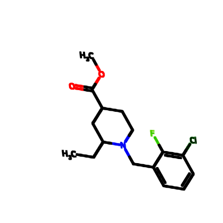 CCC1CC(C(=O)OC)CCN1Cc1cccc(Cl)c1F